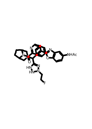 CC(=O)Nc1ccc2oc(-c3ccnc(C(=O)N4C5CCC4CN(C(C4=NN(CCF)NN4)c4ccccc4)C5)c3)nc2c1